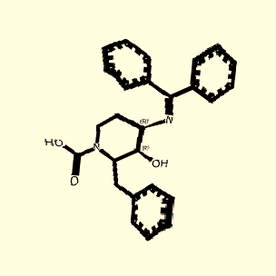 O=C(O)N1CC[C@@H](N=C(c2ccccc2)c2ccccc2)[C@@H](O)C1Cc1ccccc1